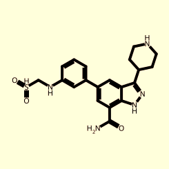 NC(=O)c1cc(-c2cccc(NC[SH](=O)=O)c2)cc2c(C3CCNCC3)n[nH]c12